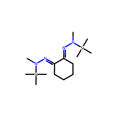 CN(N=C1CCCCC1=NN(C)[Si](C)(C)C)[Si](C)(C)C